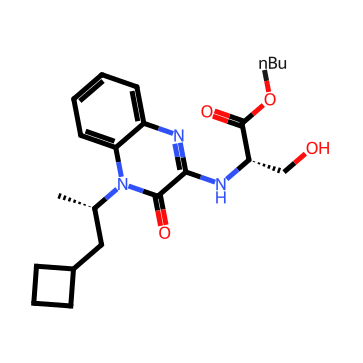 CCCCOC(=O)[C@H](CO)Nc1nc2ccccc2n([C@@H](C)CC2CCC2)c1=O